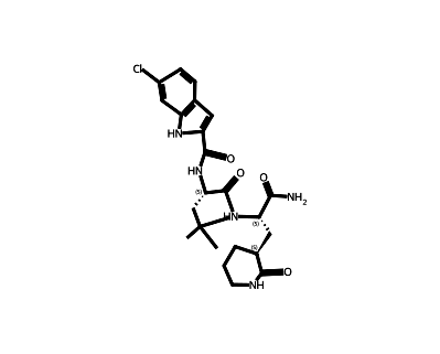 CC(C)(C)C[C@H](NC(=O)c1cc2ccc(Cl)cc2[nH]1)C(=O)N[C@@H](C[C@@H]1CCCNC1=O)C(N)=O